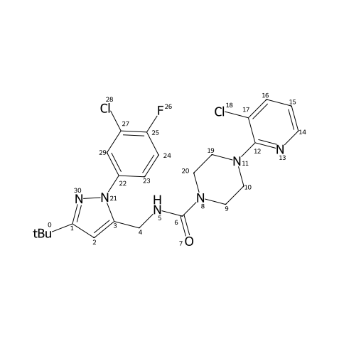 CC(C)(C)c1cc(CNC(=O)N2CCN(c3ncccc3Cl)CC2)n(-c2ccc(F)c(Cl)c2)n1